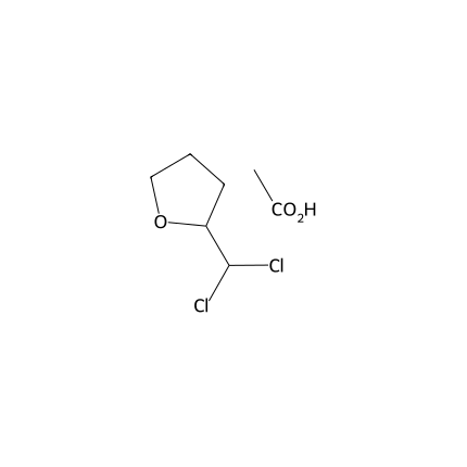 CC(=O)O.ClC(Cl)C1CCCO1